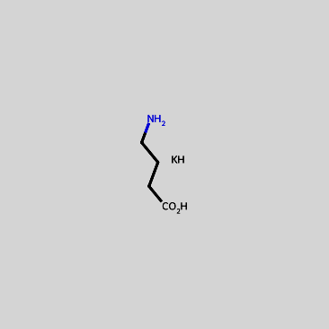 NCCCC(=O)O.[KH]